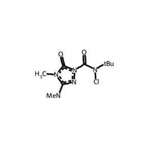 CNc1nn(C(=O)N(Cl)C(C)(C)C)c(=O)n1C